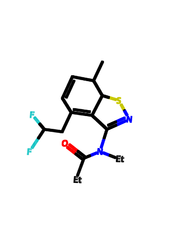 CCC(=O)N(CC)C1=NSC2C1=C(CC(F)F)C=CC2C